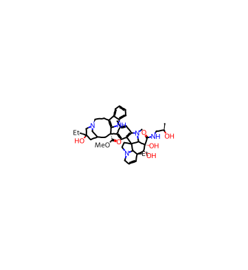 CCC1(O)CC2C[N@](CCc3c([nH]c4ccccc34)[C@@](C(=O)OC)(c3cc4c(cc3C)N(C)C3C45CCN4CC=C[C@](CC)(C45)[C@@H](O)[C@]3(O)C(=O)NC[C@@H](C)O)C2)C1